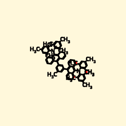 Cc1cc(-c2c3c(c(N(c4c(C)cc(C)cc4C)c4c(C)cc(C)cc4C)c4ccccc24)CCC=C3)cc(-c2c3ccccc3c(N(c3c(C)cc(C)cc3C)c3c(C)cc(C)cc3C)c3ccccc23)c1